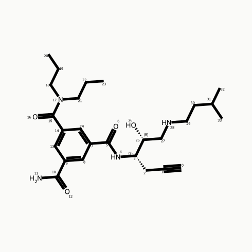 C#CC[C@H](NC(=O)c1cc(C(N)=O)cc(C(=O)N(CCC)CCC)c1)[C@H](O)CNCCC(C)C